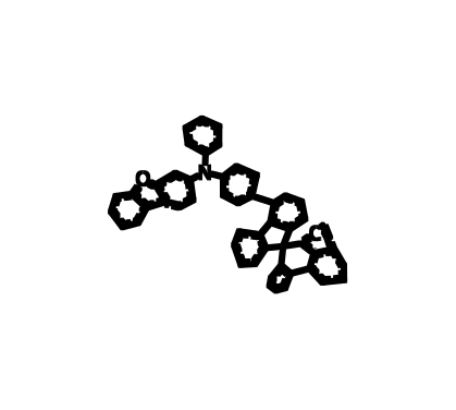 c1ccc(N(c2ccc(-c3cccc4c3-c3ccccc3C43c4ccccc4-c4cccc5cccc3c45)cc2)c2ccc3c(c2)oc2ccccc23)cc1